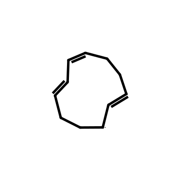 [CH]1/C=C/CC/C=C\C=C\CC1